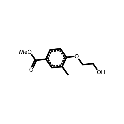 COC(=O)c1ccc(OCCO)c(C)c1